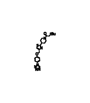 CC(C)(C)CC(=O)N1CCC(c2nc(COc3ccc(-n4cnnn4)cc3)cs2)CC1